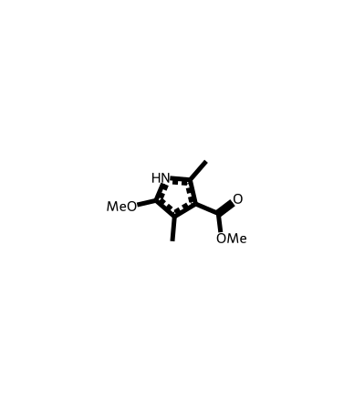 COC(=O)c1c(C)[nH]c(OC)c1C